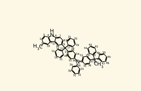 Cc1ccc2[nH]c3ccc(C(c4ccccc4)(c4ccccc4)c4ccc(N(c5ccccc5)c5ccc(C(C)(c6ccccc6)c6ccccc6)cc5)cc4)cc3c2c1